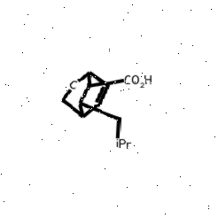 CC(C)CC1C2C=CC(CC2)C1C(=O)O